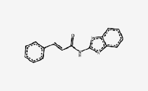 O=C(C=Cc1ccccc1)Nc1nc2ccccc2s1